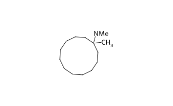 CNC1(C)CCCCCCCCCCC1